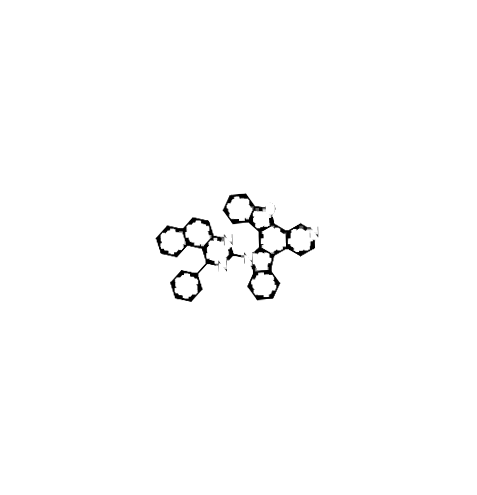 c1ccc(-c2nc(-n3c4ccccc4c4c5ccncc5c5oc6ccccc6c5c43)nc3ccc4ccccc4c23)cc1